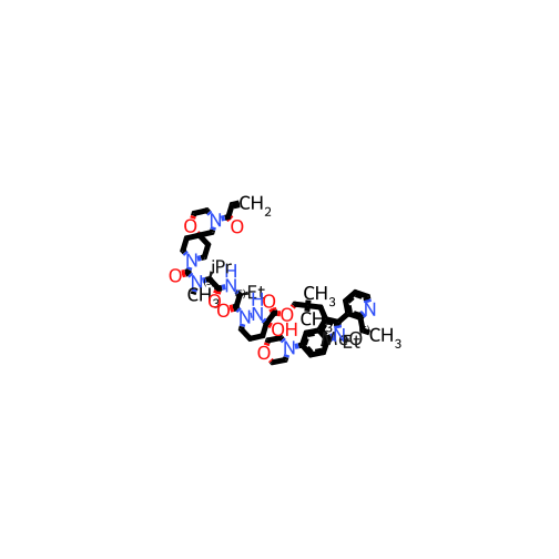 C=CC(=O)N1CCOC2(CCN(C(=O)N(C)[C@H](C(=O)N[C@@H](CC)C(=O)N3CCCC(O)(C(=O)OCC(C)(C)Cc4c(-c5cccnc5[C@H](C)OC)n(CC)c5ccc(N6CCOCC6)cc45)N3)C(C)C)CC2)C1